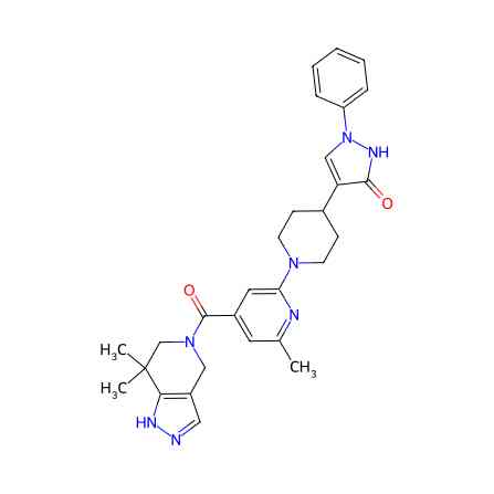 Cc1cc(C(=O)N2Cc3cn[nH]c3C(C)(C)C2)cc(N2CCC(c3cn(-c4ccccc4)[nH]c3=O)CC2)n1